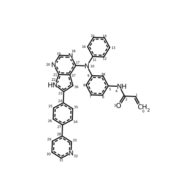 C=CC(=O)Nc1cccc(N(c2ccccc2)c2ncnc3[nH]c(-c4ccc(-c5cccnc5)cc4)cc23)c1